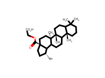 CC(C)[C@@H]1CC[C@]2(C(=O)OCC(=O)O)CC[C@]3(C)C(CCC4[C@@]5(C)CCCC(C)(C)C5CC[C@]43C)C12